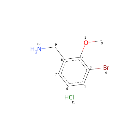 COc1c(Br)cccc1CN.Cl